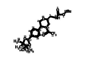 CC(C)(C)OC(=O)NC[C@H]1CN(C(=O)C(F)(F)F)C(c2ccc(B3OC(C)(C)C(C)(C)O3)cc2)CO1